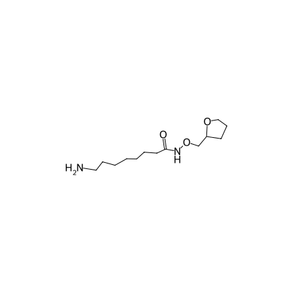 NCCCCCCCC(=O)NOCC1CCCO1